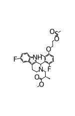 COC(=O)[C@H](C)CN1CCc2c([nH]c3ccc(F)cc23)C1c1c(F)ccc(OCCOS(C)=O)c1C